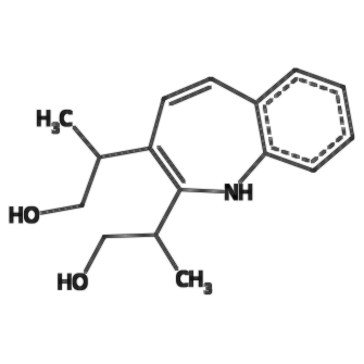 CC(CO)C1=C(C(C)CO)Nc2ccccc2C=C1